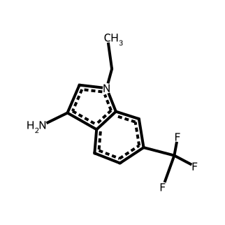 CCn1cc(N)c2ccc(C(F)(F)F)cc21